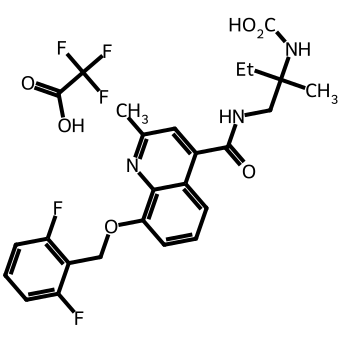 CCC(C)(CNC(=O)c1cc(C)nc2c(OCc3c(F)cccc3F)cccc12)NC(=O)O.O=C(O)C(F)(F)F